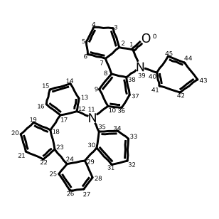 O=c1c2ccccc2c2cc(N3c4ccccc4-c4ccccc4C4C=CC=CC4c4ccccc43)ccc2n1-c1ccccc1